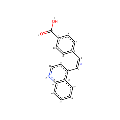 O=C(O)c1ccc(/C=C\c2ccnc3ccccc23)cc1